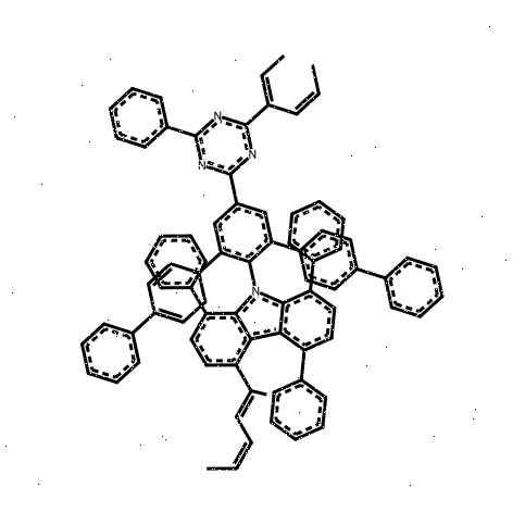 C/C=C\C=C(/C)c1ccc(-c2ccccc2)c2c1c1c(-c3ccccc3)ccc(-c3ccccc3)c1n2-c1c(-c2ccc(-c3ccccc3)cc2)cc(-c2nc(C(/C=C\C)=C/C)nc(-c3ccccc3)n2)cc1C1C=CC(c2ccccc2)=CC1